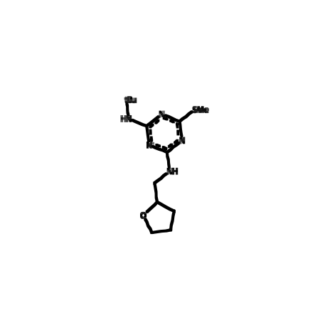 CSc1nc(NCC2CCCO2)nc(NC(C)(C)C)n1